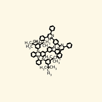 CC(C)(C)c1cc(N2c3ccccc3B3c4ccccc4N(c4cc(C(C)(C)C)cc(C(C)(C)C)c4)c4cc(-c5ccc6c(c5)c5ccccc5n6-c5cc(-c6nc(-c7ccccc7)cc(-c7ccccc7)n6)ccc5-c5nc(-c6ccccc6)cc(-c6ccccc6)n5)cc2c43)cc(C(C)(C)C)c1